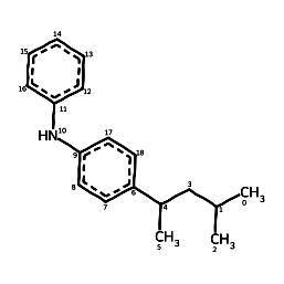 CC(C)CC(C)c1ccc(Nc2ccccc2)cc1